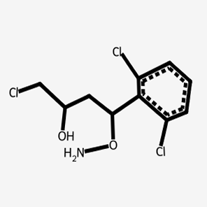 NOC(CC(O)CCl)c1c(Cl)cccc1Cl